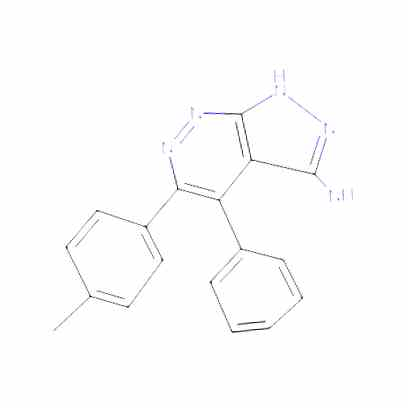 Cc1ccc(-c2nnc3[nH]nc(N)c3c2-c2ccccc2)cc1